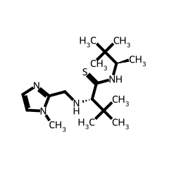 C[C@@H](NC(=S)[C@@H](NCc1nccn1C)C(C)(C)C)C(C)(C)C